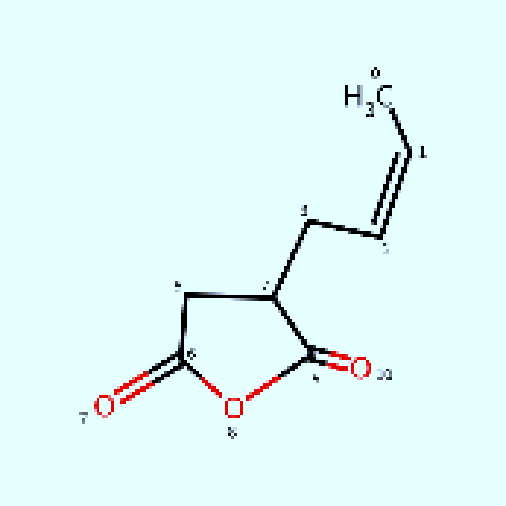 C/C=C\CC1CC(=O)OC1=O